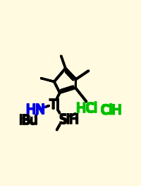 CCC(C)[NH][Ti]([C]1=C(C)C(C)=C(C)C1C)[SiH](C)C.Cl.Cl